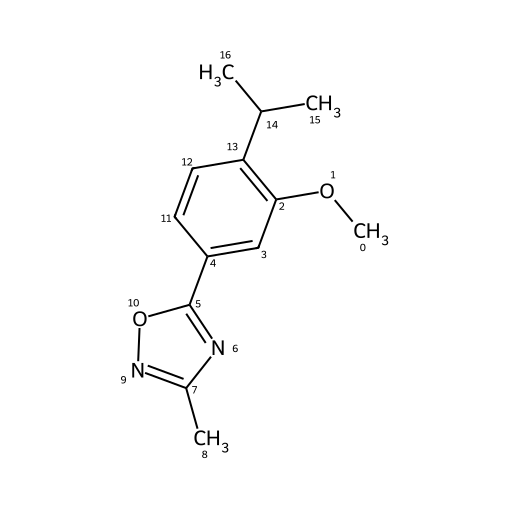 COc1cc(-c2nc(C)no2)ccc1C(C)C